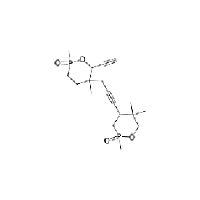 C#CC1OP(C)(=O)CCC1(C)CC#CC1CP(C)(=O)OCC1(C)C